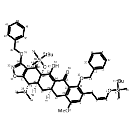 COc1cc(C/C=C\O[Si](C)(C)C(C)(C)C)c(OCc2ccccc2)c2c1C[C@H]1C[C@H]3[C@H](N(C)C)c4onc(OCc5ccccc5)c4C(=O)[C@@]3(O[Si](C)(C)C(C)(C)C)C(O)=C1C2=O